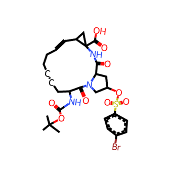 CC(C)(C)OC(=O)NC1CCCCC/C=C/C2CC2(C(=O)O)NC(=O)C2CC(OS(=O)(=O)c3ccc(Br)cc3)CN2C1=O